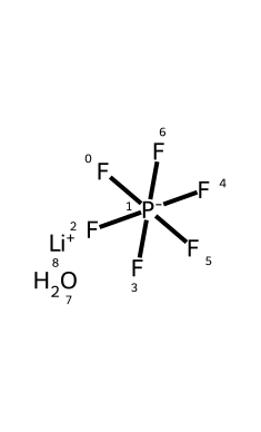 F[P-](F)(F)(F)(F)F.O.[Li+]